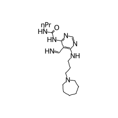 CCCNC(=O)Nc1ncnc(NCCCN2CCCCCC2)c1C=N